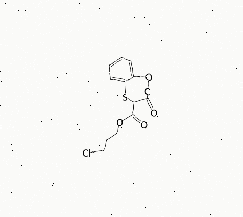 O=C1COc2ccccc2SC1C(=O)OCCCCl